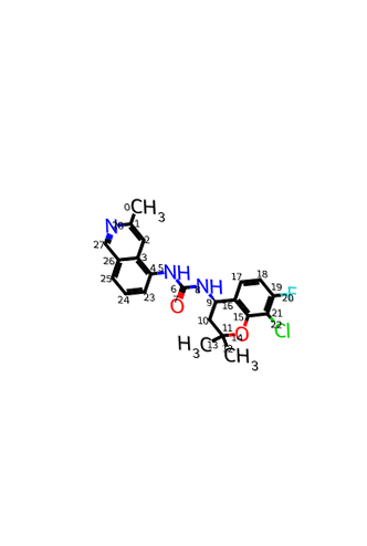 Cc1cc2c(NC(=O)N[C@@H]3CC(C)(C)Oc4c3ccc(F)c4Cl)cccc2cn1